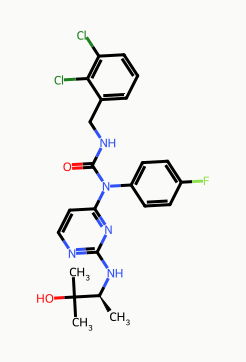 C[C@H](Nc1nccc(N(C(=O)NCc2cccc(Cl)c2Cl)c2ccc(F)cc2)n1)C(C)(C)O